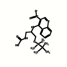 CC(C)(C)[Si](C)(C)OCC(CNC(=O)O)Nc1c([N+](=O)[O-])cnc2ccccc12